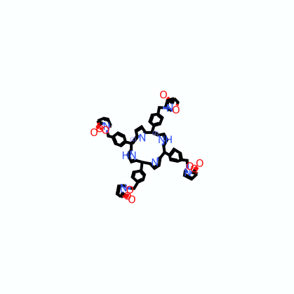 O=C1C2C=CC(OC2)N1Cc1ccc(/C2=C3\C=CC(N3)C(c3ccc(CN4C(=O)C5C=CC4OO5)cc3)C3=NC(C=C3)C(c3ccc(CN4C(=O)C5C=CC4OO5)cc3)c3ccc([nH]3)/C(c3ccc(CN4C(=O)C5C=CC4OO5)cc3)=C3/C=CC2=N3)cc1